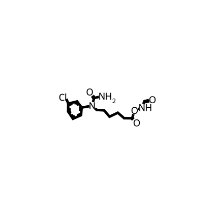 NC(=O)N(CCCCCC(=O)ONC=O)c1cccc(Cl)c1